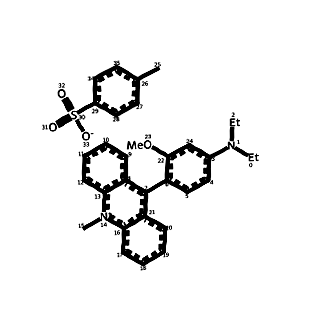 CCN(CC)c1ccc(-c2c3ccccc3[n+](C)c3ccccc23)c(OC)c1.Cc1ccc(S(=O)(=O)[O-])cc1